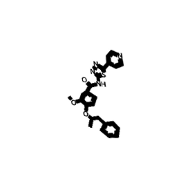 COc1cc(C(=O)Nc2nnc(-c3ccncc3)s2)ccc1OC(C)Cc1ccccc1